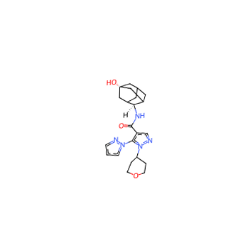 O=C(N[C@H]1C2CC3CC1C[C@](O)(C3)C2)c1cnn(C2CCOCC2)c1-n1cccn1